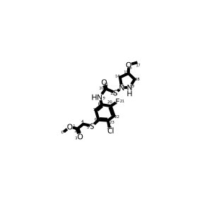 COC(=O)CSc1cc(NC(=O)SN2CC(OC)CN2)c(F)cc1Cl